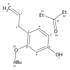 C=CCc1ccc(O)cc1OCCCC.CCC(=O)CC